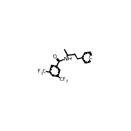 CC(CCc1ccccc1)NC(=O)c1cc(C(F)(F)F)cc(C(F)(F)F)c1